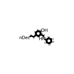 CCCCCCCCCCCCc1ccc(O)c(CNc2ccccc2)c1